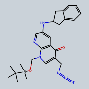 CC(C)(C)[Si](C)(C)OCn1cc(CN=[N+]=[N-])c(=O)c2cc(NC3Cc4ccccc4C3)cnc21